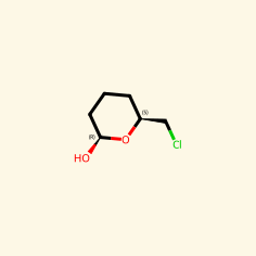 O[C@H]1CCC[C@@H](CCl)O1